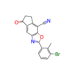 Cc1c(Br)cccc1-c1nc2cc3c(c(C#N)c2o1)CCC3=O